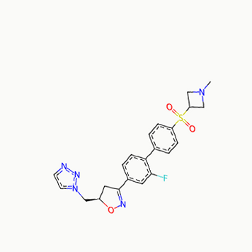 CN1CC(S(=O)(=O)c2ccc(-c3ccc(C4=NO[C@@H](Cn5ccnn5)C4)cc3F)cc2)C1